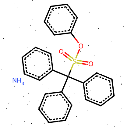 N.O=S(=O)(Oc1ccccc1)C(c1ccccc1)(c1ccccc1)c1ccccc1